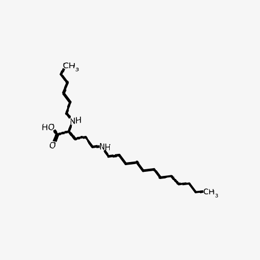 CCCCCCCCCCCCNCCCC(NCCCCCC)C(=O)O